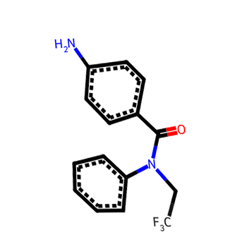 Nc1ccc(C(=O)N(CC(F)(F)F)c2ccccc2)cc1